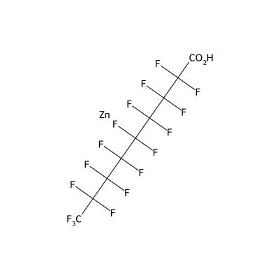 O=C(O)C(F)(F)C(F)(F)C(F)(F)C(F)(F)C(F)(F)C(F)(F)C(F)(F)C(F)(F)F.[Zn]